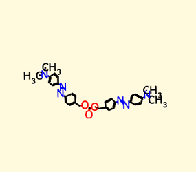 CN(C)c1ccc(N=Nc2ccc(COC(=O)OCc3ccc(N=Nc4ccc(N(C)C)cc4)cc3)cc2)cc1